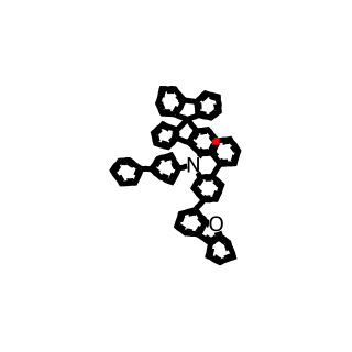 c1ccc(-c2ccc(N(c3cc(-c4cccc5c4oc4ccccc45)ccc3-c3ccccc3)c3cccc4c3-c3ccccc3C43c4ccccc4-c4ccccc43)cc2)cc1